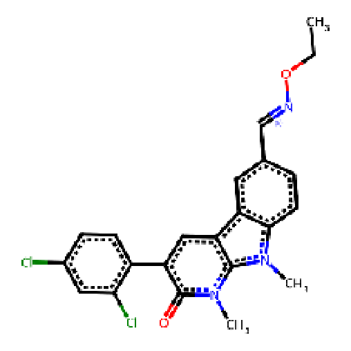 CCO/N=C/c1ccc2c(c1)c1cc(-c3ccc(Cl)cc3Cl)c(=O)n(C)c1n2C